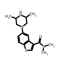 CC1CN(c2ccc3scc(C(=O)N(C)C)c3c2)CC(C)N1